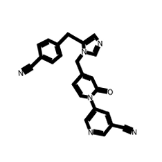 N#Cc1ccc(Cc2cncn2Cc2ccn(-c3cncc(C#N)c3)c(=O)c2)cc1